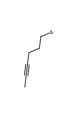 [CH2]C#CCCC[S]